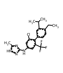 CCc1ccc(-c2c(Cl)cc(Nc3n[nH]c(C)n3)cc2C(F)(F)F)cc1C(C)C